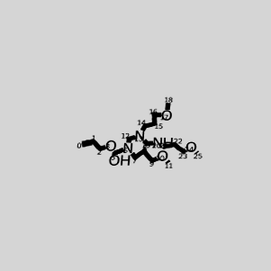 C=CCOC(O)N(CCCOC)CN(CCCOC)CNCCCOC